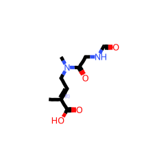 C/C(=C\CN(C)C(=O)CNC=O)C(=O)O